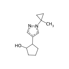 CC1(n2cc(C3CCCC3O)cn2)CC1